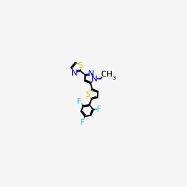 CCn1nc(-c2nccs2)cc1-c1ccc(-c2c(F)cc(F)cc2F)s1